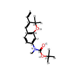 C=CC1=Cc2ccc(N(C)C(=O)OC(C)(C)C)cc2OC1(C)C